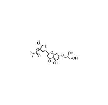 COc1ccc(-c2cc(=O)c3c(O)cc(OCC(O)CO)cc3o2)cc1OC(=O)C(C)C